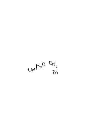 O.O.[SnH4].[Zn]